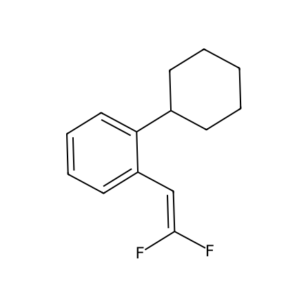 FC(F)=Cc1ccccc1C1CCCCC1